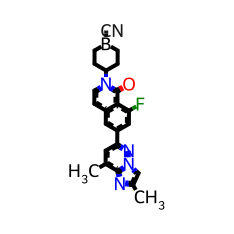 Cc1cn2nc(-c3cc(F)c4c(=O)n(C5CCB(C#N)CC5)ccc4c3)cc(C)c2n1